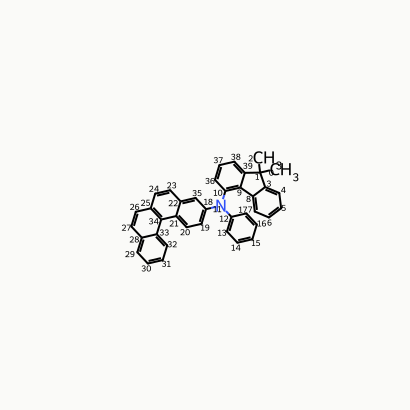 CC1(C)c2ccccc2-c2c(N(c3ccccc3)c3ccc4c(ccc5ccc6ccccc6c54)c3)cccc21